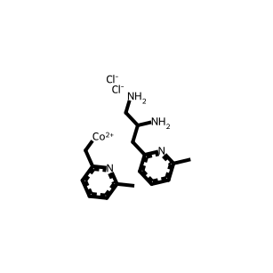 Cc1cccc(CC(N)CN)n1.Cc1cccc([CH2][Co+2])n1.[Cl-].[Cl-]